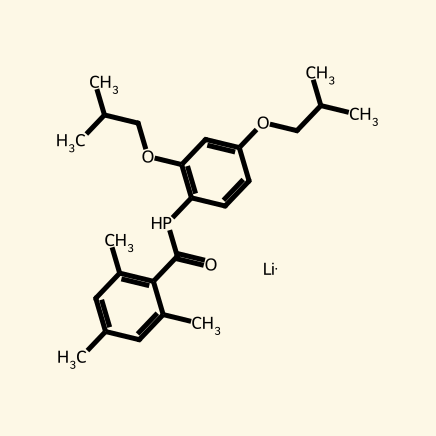 Cc1cc(C)c(C(=O)Pc2ccc(OCC(C)C)cc2OCC(C)C)c(C)c1.[Li]